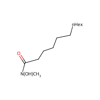 CCCCCCCCCCCC(=O)N(C)O